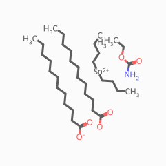 CCCCCCCCCCCC(=O)[O-].CCCCCCCCCCCC(=O)[O-].CCC[CH2][Sn+2][CH2]CCC.CCOC(N)=O